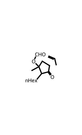 C=CC.CCCCCCC1C(=O)CCC1(C)OC=O